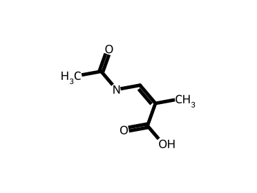 CC(=O)[N]C=C(C)C(=O)O